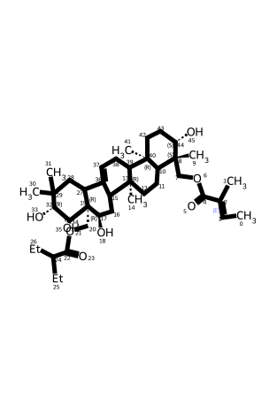 C/C=C(\C)C(=O)OC[C@]1(C)C2CC[C@@]3(C)C4C[C@@H](O)[C@]5(COC(=O)C(CC)CC)C(CC(C)(C)[C@@H](O)[C@@H]5O)C4=CCC3[C@@]2(C)CC[C@@H]1O